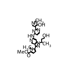 COC(=O)c1ccc(-c2nn(C(C)CCO)c3cc(Nc4ccnc(-c5cnn(C)c5O)n4)ncc23)n1C